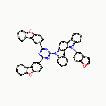 c1ccc2c(c1)oc1ccc(-c3nc(-c4ccc5oc6ccccc6c5c4)nc(-n4c5ccccc5c5c4ccc4c6ccccc6n(-c6ccc7occc7c6)c45)n3)cc12